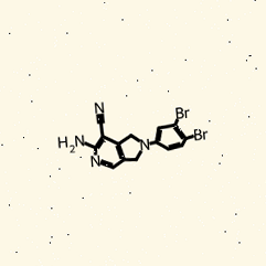 N#Cc1c(N)ncc2c1CN(c1ccc(Br)c(Br)c1)C2